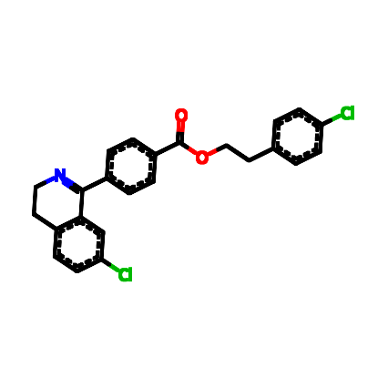 O=C(OCCc1ccc(Cl)cc1)c1ccc(C2=NCCc3ccc(Cl)cc32)cc1